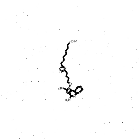 CCCCCCCCCCCCCCCCCc1noc(CCCCOn2c(CCCC)nc3c(N)nc4ccccc4c32)n1